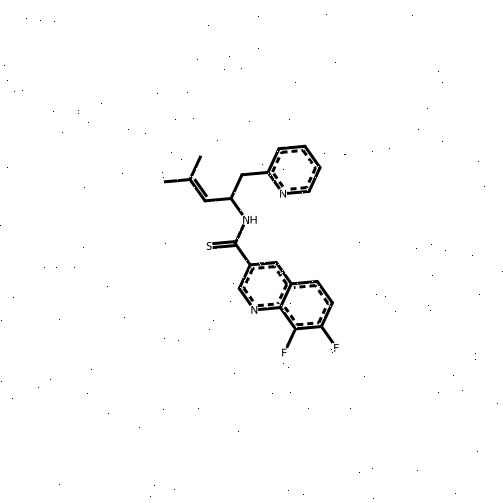 CC(C)=CC(Cc1ccccn1)NC(=S)c1cnc2c(F)c(F)ccc2c1